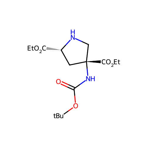 CCOC(=O)[C@H]1C[C@](NC(=O)OC(C)(C)C)(C(=O)OCC)CN1